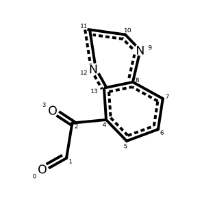 O=CC(=O)c1cccc2nccnc12